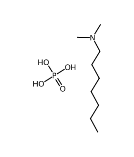 CCCCCCCN(C)C.O=P(O)(O)O